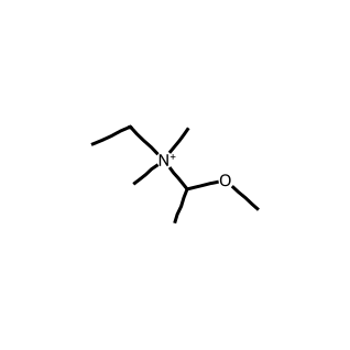 CC[N+](C)(C)C(C)OC